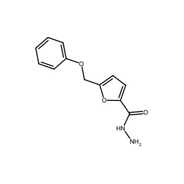 NNC(=O)c1ccc(COc2ccccc2)o1